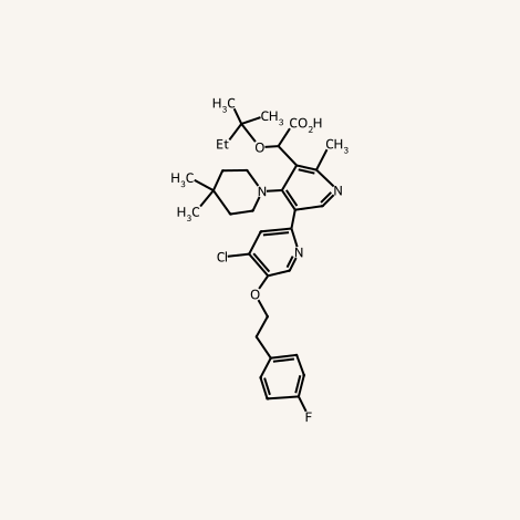 CCC(C)(C)OC(C(=O)O)c1c(C)ncc(-c2cc(Cl)c(OCCc3ccc(F)cc3)cn2)c1N1CCC(C)(C)CC1